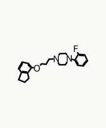 Fc1ccccc1N1CCN(CCCOc2cccc3c2CCC3)CC1